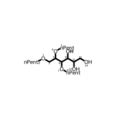 CCCCCOCC(OCCCCC)C(OCCCCC)C(O)C(O)CO